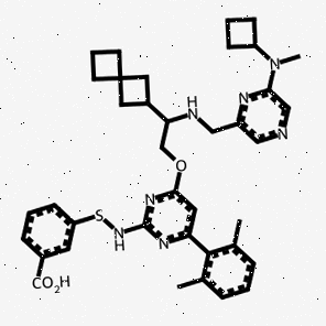 Cc1cccc(C)c1-c1cc(OCC(NCc2cncc(N(C)C3CCC3)n2)C2CC3(CCC3)C2)nc(NSc2cccc(C(=O)O)c2)n1